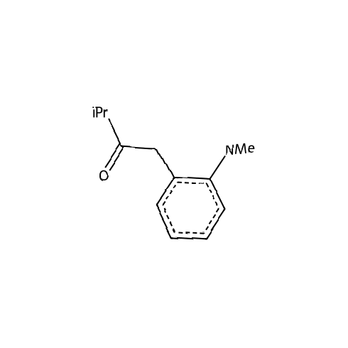 CNc1ccccc1CC(=O)C(C)C